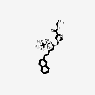 CCOC(=O)c1cn(C[C@H](CCCCc2ccc3ccccc3c2)O[Si](C)(C)C(C)(C)C)cn1